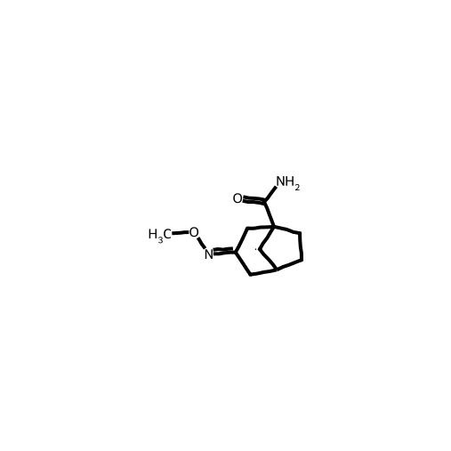 CON=C1CC2[CH]C(C(N)=O)(CC2)C1